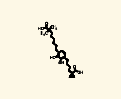 CC(C)(CCCCCCc1ccc(CCCCC2(C(=O)O)CC2)c(O)c1O)C(=O)O